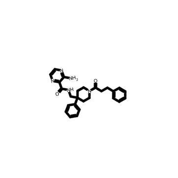 Nc1nccnc1C(=O)NCC1(c2ccccc2)CCN(C(=O)CCc2ccccc2)CC1